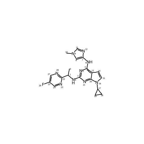 CC(Nc1nc(Nc2cn(C)cn2)c2ccn(C3CC3)c2n1)c1ncc(F)cn1